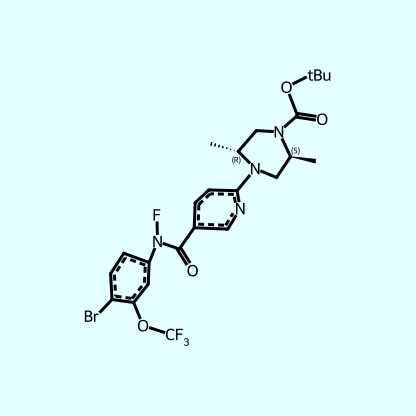 C[C@@H]1CN(C(=O)OC(C)(C)C)[C@@H](C)CN1c1ccc(C(=O)N(F)c2ccc(Br)c(OC(F)(F)F)c2)cn1